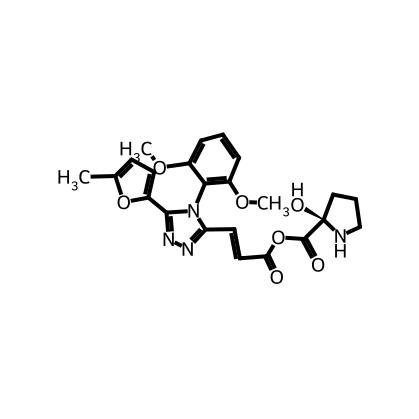 COc1cccc(OC)c1-n1c(/C=C/C(=O)OC(=O)[C@]2(O)CCCN2)nnc1-c1ccc(C)o1